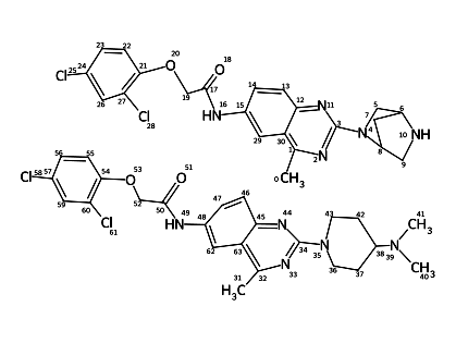 Cc1nc(N2CC3CC2CN3)nc2ccc(NC(=O)COc3ccc(Cl)cc3Cl)cc12.Cc1nc(N2CCC(N(C)C)CC2)nc2ccc(NC(=O)COc3ccc(Cl)cc3Cl)cc12